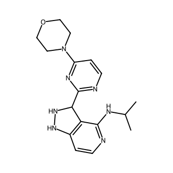 CC(C)Nc1nccc2c1C(c1nccc(N3CCOCC3)n1)NN2